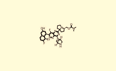 CCc1c(F)ccc2cc(O)cc(-c3nnc4c(N5C[C@@H]6C[C@H]5CN6)nc(C56CCCN5[C@@H](COC(=O)N(C)C)CC6)nc4c3F)c12